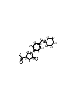 CC(=O)C1CC(=O)N(c2ccc(CN3CCCCC3)cc2)C1